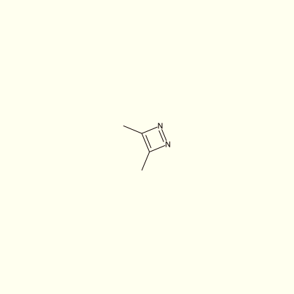 CC1=C(C)N=N1